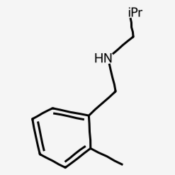 Cc1ccccc1CNCC(C)C